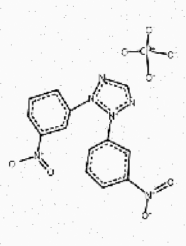 O=[N+]([O-])c1cccc(-n2ncn[n+]2-c2cccc([N+](=O)[O-])c2)c1.[O-][Cl+3]([O-])([O-])[O-]